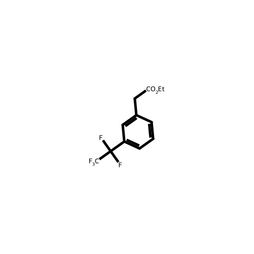 CCOC(=O)Cc1cccc(C(F)(F)C(F)(F)F)c1